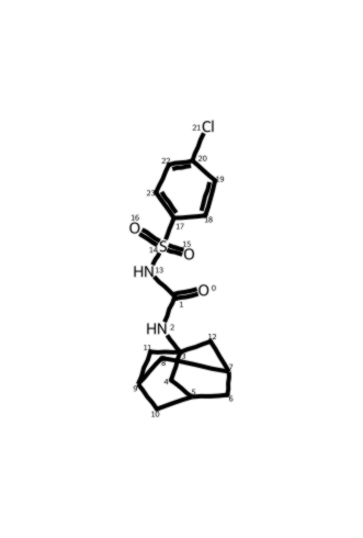 O=C(NC12CC3CC(CC(C3)C1)C2)NS(=O)(=O)c1ccc(Cl)cc1